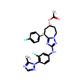 Cc1ncnn1-c1ccc(Nc2nc3n(n2)CC[C@@H](OC(=O)C(F)(F)F)C[C@@H]3c2ccc(F)cc2)cc1F